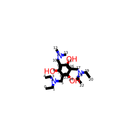 CCN(CC)Cc1c(O)c(CN(C)C)c(O)c(CN(CC)CC)c1O